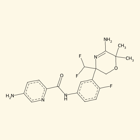 CC1(C)OCC(c2cc(NC(=O)c3ccc(N)cn3)ccc2F)(C(F)F)N=C1N